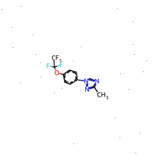 Cc1ncn(-c2ccc(OC(F)(F)C(F)(F)F)cc2)n1